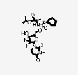 CC(C)OC(=O)[C@@H](C)NP(=O)(OC[C@H]1O[C@@H](n2ccc(=O)[nH]c2=O)C(F)(F)[C@@H]1O)Oc1ccccc1